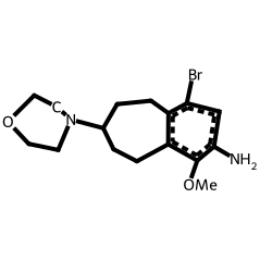 COc1c(N)cc(Br)c2c1CCC(N1CCOCC1)CC2